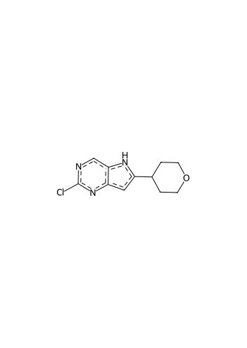 Clc1ncc2[nH]c(C3CCOCC3)cc2n1